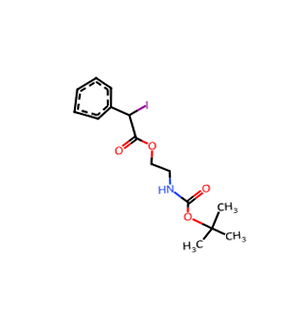 CC(C)(C)OC(=O)NCCOC(=O)C(I)c1ccccc1